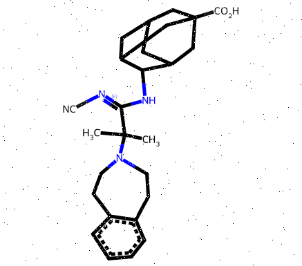 CC(C)(/C(=N\C#N)NC1C2CC3CC1CC(C(=O)O)(C3)C2)N1CCc2ccccc2CC1